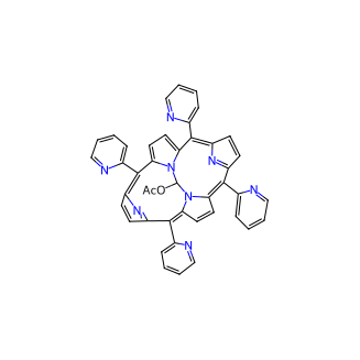 CC(=O)OC1n2c3ccc2/C(c2ccccn2)=C2/C=CC(=N2)/C(c2ccccn2)=c2/cc/c(n21)=C(\c1ccccn1)C1=N/C(=C\3c2ccccn2)C=C1